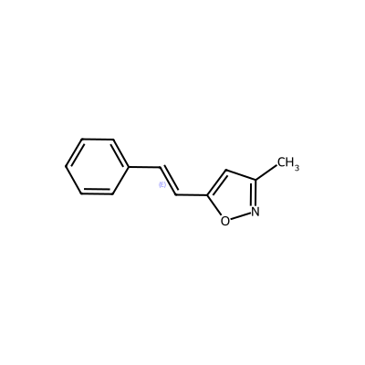 Cc1cc(/C=C/c2ccccc2)on1